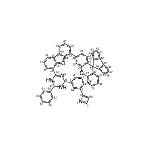 C1=NC(c2cccc(C3N=C(c4cccc5c4oc4c(-c6ccc7c(c6)Oc6ccccc6C76c7ccccc7-c7ccccc76)cccc45)NC(c4ccccc4)N3)c2)=C1